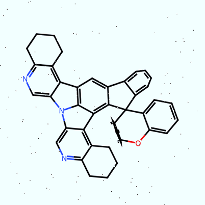 c1ccc2c(c1)Oc1ccccc1C21c2ccccc2-c2cc3c4c5c(ncc4n4c6cnc7c(c6c(c21)c34)CCCC7)CCCC5